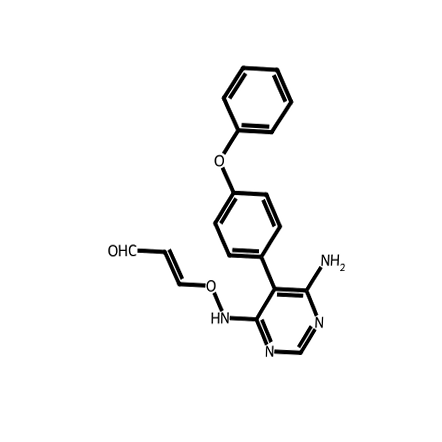 Nc1ncnc(NOC=CC=O)c1-c1ccc(Oc2ccccc2)cc1